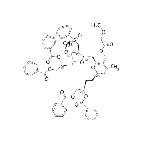 COCC(=O)OCC1=C(C)C[C@@H](CC[C@H](COC(=O)c2ccccc2)OC(=O)c2ccccc2)O[C@H]1C[C@@H]1O[C@H](C[C@@H](COC(=O)c2ccccc2)OC(=O)c2ccccc2)[C@H](OC)[C@H]1CS(=O)(=O)c1ccccc1